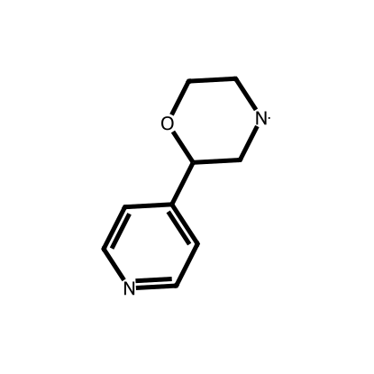 c1cc(C2C[N]CCO2)ccn1